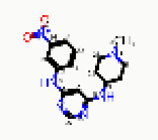 CN1CCC(Nc2cc(Nc3cccc([N+](=O)[O-])c3)ncn2)CC1